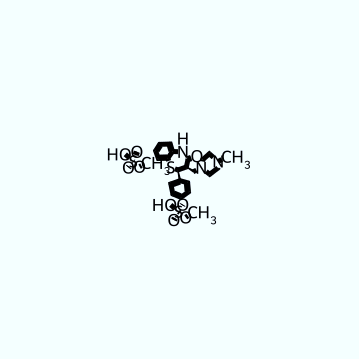 CN1CCN(C[C@@H]2C(=O)Nc3ccccc3S[C@@H]2c2ccccc2)CC1.COS(=O)(=O)O.COS(=O)(=O)O